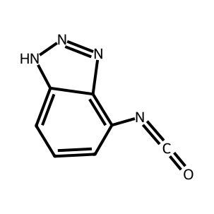 O=C=Nc1cccc2[nH]nnc12